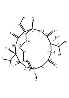 C/C=C1/C(=O)N[C@@H](C(C)C)C(=O)O[C@@H]2/C=C/CCSSC[C@H]1NC(=O)[C@@H](C(C)C)NC(=O)C2